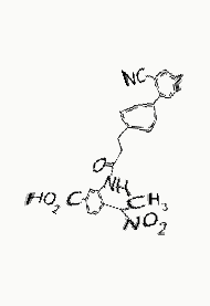 CC(c1ccc(C(=O)O)cc1NC(=O)CCc1ccc(-c2ccccc2C#N)cc1)[N+](=O)[O-]